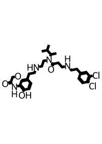 CC(C)C(C)N(CCNCCc1ccc(O)c2c1OCC(=O)N2)C(=O)CCNCCc1ccc(Cl)c(Cl)c1